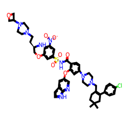 CC1(C)CCC(CN2CCN(c3ccc(C(=O)NS(=O)(=O)c4cc5c(c([N+](=O)[O-])c4)N[C@H](CCN4CCN(C6COC6)CC4)CO5)c(Oc4cnc5[nH]ccc5c4)c3)CC2)=C(c2ccc(Cl)cc2)C1